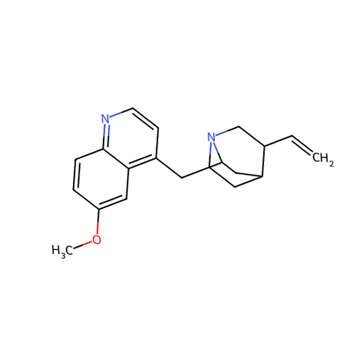 C=CC1CN2CCC1CC2Cc1ccnc2ccc(OC)cc12